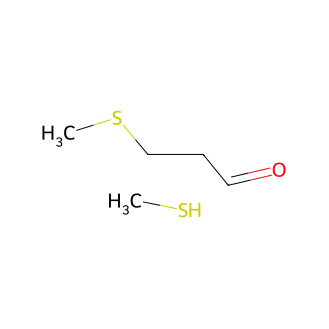 CS.CSCCC=O